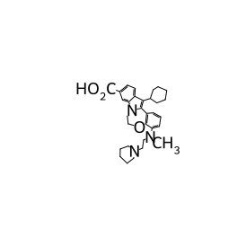 CN(CCN1CCCCC1)c1cccc2c1OCCn1c-2c(C2CCCCC2)c2ccc(C(=O)O)cc21